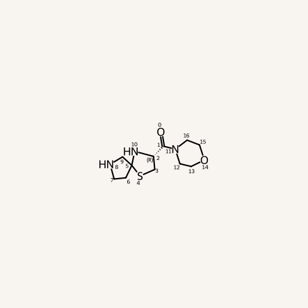 O=C([C@@H]1CSC2(CCNC2)N1)N1CCOCC1